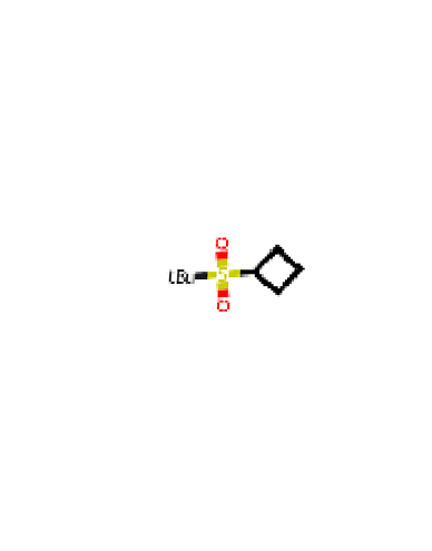 CC(C)(C)S(=O)(=O)C1CCC1